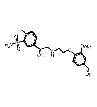 COc1cc(CO)ccc1OCCNCC(O)c1ccc(C)c(S(N)(=O)=O)c1